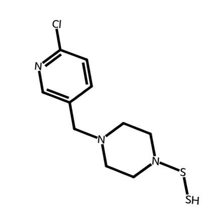 SSN1CCN(Cc2ccc(Cl)nc2)CC1